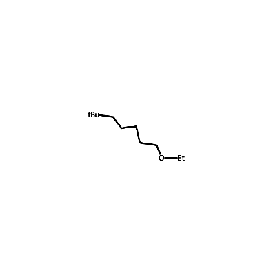 CCOCCCCCC(C)(C)C